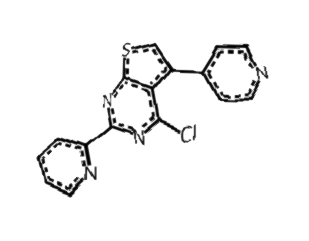 Clc1nc(-c2ccccn2)nc2scc(-c3ccncc3)c12